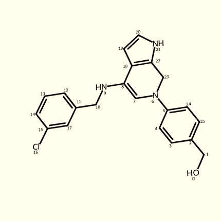 OCc1ccc(N2C=C(NCc3cccc(Cl)c3)c3cc[nH]c3C2)cc1